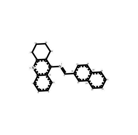 C(=Nc1c2c(nc3ccccc13)CCCC2)c1ccc2ccccc2c1